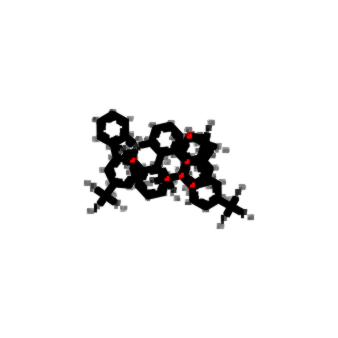 N#Cc1cccc(-n2c3ccccc3c3cc(C(F)(F)F)ccc32)c1-c1c(-c2c(C(F)(F)F)cccc2C(F)(F)F)cccc1-n1c2ccccc2c2cc(C(F)(F)F)ccc21